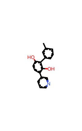 Cc1cccc(-c2c(O)ccc(-c3cccnc3)c2O)c1